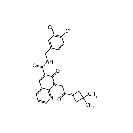 CC1(C)CN(C(=O)Cn2c(=O)c(C(=O)NCc3ccc(Cl)c(Cl)c3)cc3cccnc32)C1